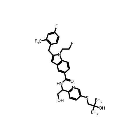 BC(B)(O)CSc1ccc(C(CO)NC(=O)c2ccc3c(c2)cc(Cc2ccc(F)cc2C(F)(F)F)n3CCF)nc1